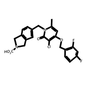 Cc1cc(OCc2ccc(F)cc2F)c(Cl)c(=O)n1Cc1ccc2c(c1)CN(C(=O)O)C2